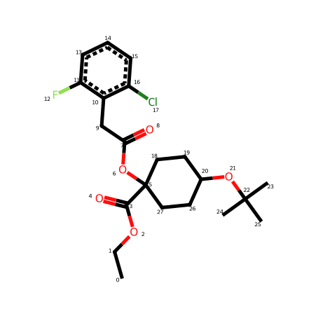 CCOC(=O)C1(OC(=O)Cc2c(F)cccc2Cl)CCC(OC(C)(C)C)CC1